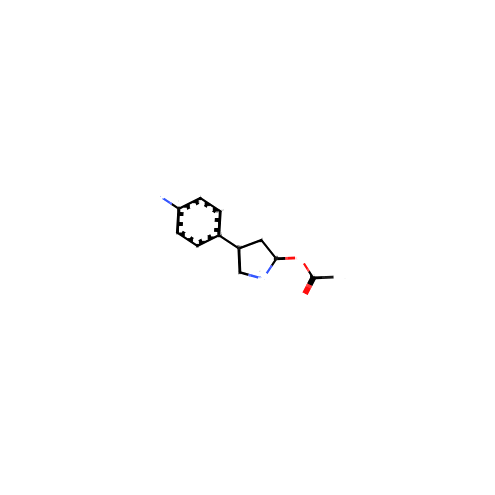 CC(C)(C)C(=O)OC1CC(c2ccc(N)cc2)CN1